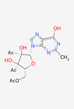 CC(=O)OC[C@H]1O[C@@H](n2cnc3c(O)nc(C)nc32)[C@@](O)(C(C)=O)[C@@]1(O)C(C)=O